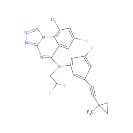 Fc1cc(C#CC2(C(F)(F)F)CC2)cc(N(CC(F)F)c2nc3nncn3c3c(Cl)cc(F)cc23)c1